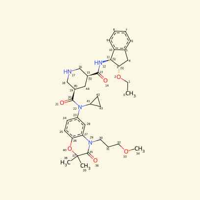 CCO[C@H]1Cc2ccccc2[C@@H]1NC(=O)[C@@H]1CNC[C@H](C(=O)N(c2ccc3c(c2)N(CCCOC)C(=O)C(C)(C)O3)C2CC2)C1